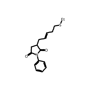 CCSCC/C=C/CC1CC(=O)N(c2ccccc2)C1=O